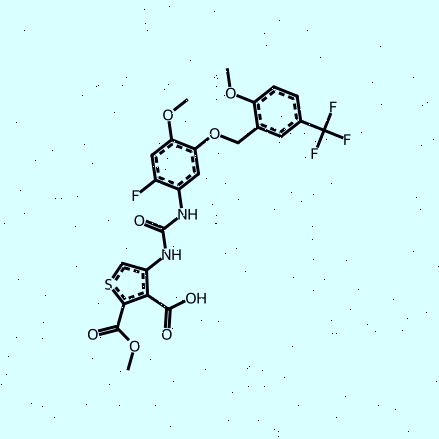 COC(=O)c1scc(NC(=O)Nc2cc(OCc3cc(C(F)(F)F)ccc3OC)c(OC)cc2F)c1C(=O)O